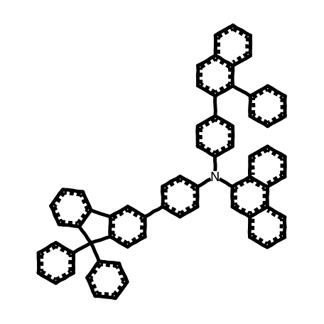 c1ccc(-c2c(-c3ccc(N(c4ccc(-c5ccc6c(c5)-c5ccccc5C6(c5ccccc5)c5ccccc5)cc4)c4cc5ccccc5c5ccccc45)cc3)ccc3ccccc23)cc1